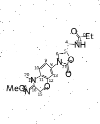 CCC(=O)NC[C@H]1CN(c2ccc3c(c2)OCC(=NOC)N3C)C(=O)O1